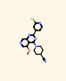 COc1cncc2nc(-c3ccnc(Cl)c3)nc(N3CCC(C#N)CC3)c12